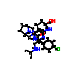 CC(C)NC[C@@H](C(=O)N1CC2CCC(C1)N2c1ncnc2c1CCC(O)N2)c1ccc(Cl)cc1